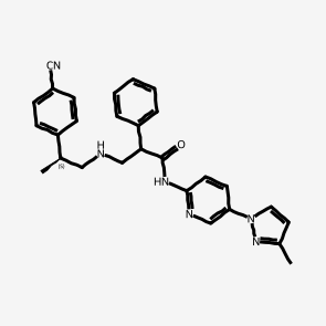 Cc1ccn(-c2ccc(NC(=O)C(CNC[C@@H](C)c3ccc(C#N)cc3)c3ccccc3)nc2)n1